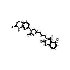 O=C1CSc2ccc(N3CC(CCCn4c(=O)[nH]c5cccc(Cl)c5c4=O)OC3=O)nc2N1